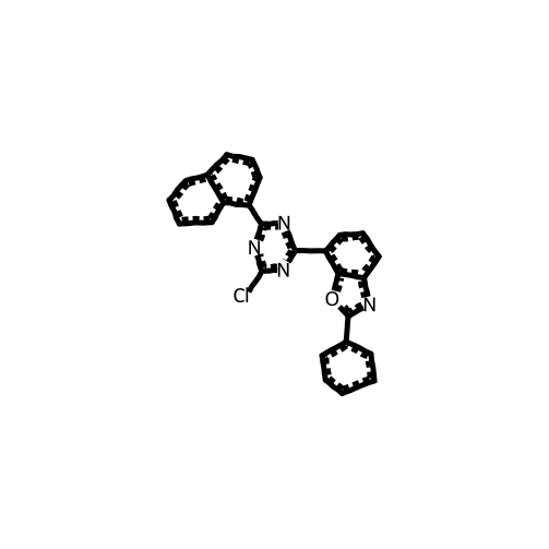 Clc1nc(-c2cccc3ccccc23)nc(-c2cccc3nc(-c4ccccc4)oc23)n1